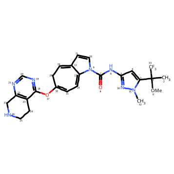 COC(C)(c1cc(NC(=O)n2ccc3c2=CC=C(Oc2ncnc4c2CCNC4)CC=3)nn1C)C(F)(F)F